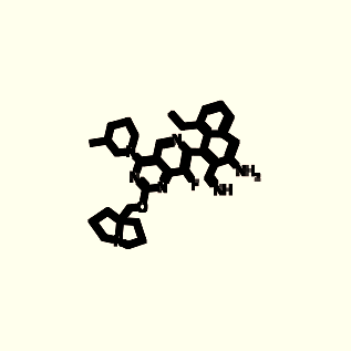 CCc1cccc2cc(N)c(C=N)c(-c3ncc4c(N5CCCC(C)C5)nc(OCC56CCCN5CCC6)nc4c3F)c12